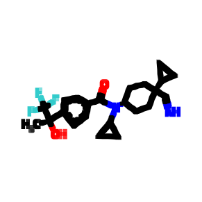 C[C@](O)(c1ccc(C(=O)N(C2CC2)[C@H]2CC[C@](C=N)(C3CC3)CC2)cc1)C(F)(F)F